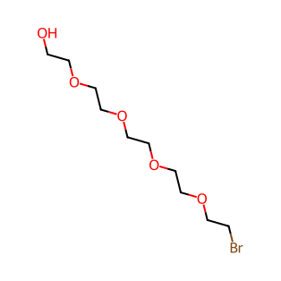 OCCOCCOCCOCCOCCBr